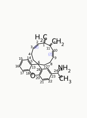 C=C1/C=C\CCC2(CC/C=C\C1=C)c1ccccc1Oc1ccc(C(C)N)cc12